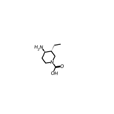 CC[C@@H]1CN(C(=O)O)CC[C@H]1N